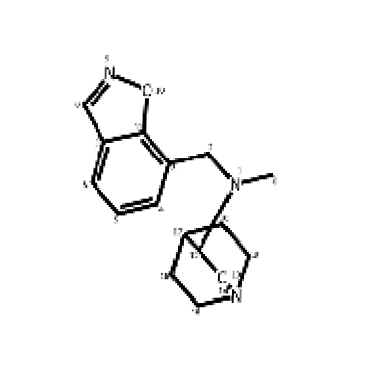 CN(Cc1cccc2cnoc12)C1CN2CCC1CC2